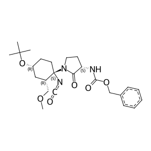 COC[C@@H]1C[C@H](OC(C)(C)C)CC[C@@]1(N=C=O)N1CC[C@H](NC(=O)OCc2ccccc2)C1=O